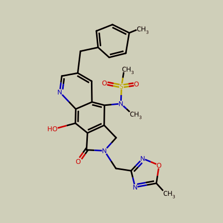 Cc1ccc(Cc2cnc3c(O)c4c(c(N(C)S(C)(=O)=O)c3c2)CN(Cc2noc(C)n2)C4=O)cc1